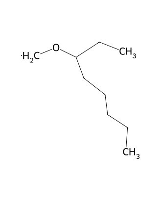 [CH2]OC(CC)CCCCC